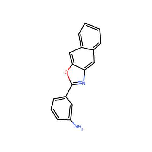 Nc1cccc(-c2nc3cc4ccccc4cc3o2)c1